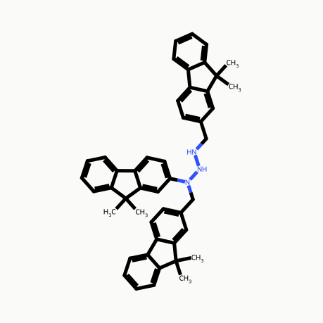 CC1(C)c2ccccc2-c2ccc(CNNN(Cc3ccc4c(c3)C(C)(C)c3ccccc3-4)c3ccc4c(c3)C(C)(C)c3ccccc3-4)cc21